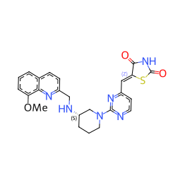 COc1cccc2ccc(CN[C@H]3CCCN(c4nccc(/C=C5\SC(=O)NC5=O)n4)C3)nc12